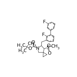 CC(C)(C)OC(=O)N1CC2(CC2)C(S(C)(=O)=O)C1Cc1cccc(-c2cccc(F)c2)c1F